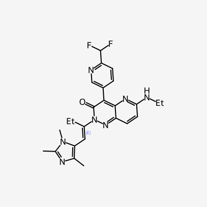 CCNc1ccc2nn(/C(=C/c3c(C)nc(C)n3C)CC)c(=O)c(-c3ccc(C(F)F)nc3)c2n1